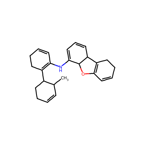 CC1C=CCCC1C1=C(NC2=CC=CC3C4=C(C=CCC4)OC23)C=CCC1